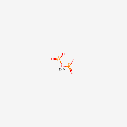 O=[PH]([O-])O[PH](=O)[O-].[Zn+2]